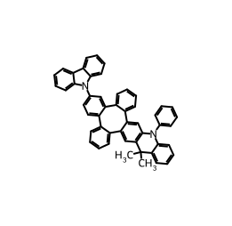 CC1(C)c2ccccc2N(c2ccccc2)c2cc3c(cc21)-c1ccccc1-c1ccc(-n2c4ccccc4c4ccccc42)cc1-c1ccccc1-3